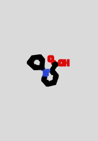 O=C(O)c1cccc[n+]1-c1ccccc1